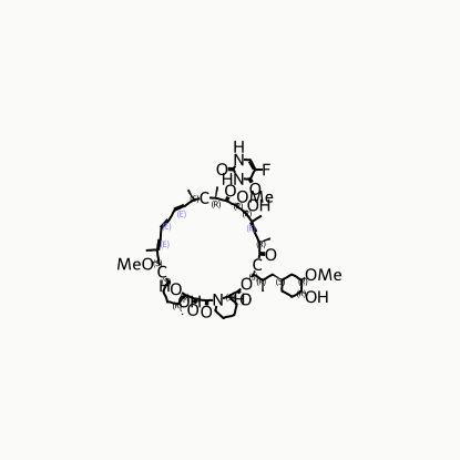 CO[C@H]1C[C@@H]2CC[C@@H](C)[C@@](O)(O2)C(=O)C(=O)N2CCCC[C@H]2C(=O)O[C@H]([C@H](C)C[C@@H]2CC[C@@H](O)[C@H](OC)C2)CC(=O)[C@H](C)/C=C(\C)[C@@H](O)[C@@H](OC)C(=O)[C@H](C)C[C@H](C)/C=C/C=C/C=C/1C.O=c1[nH]cc(F)c(=O)[nH]1